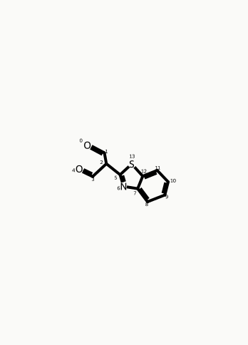 O=CC(C=O)c1nc2ccccc2s1